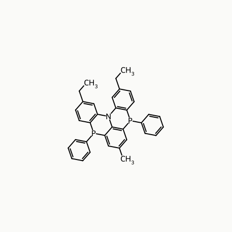 CCc1ccc2c(c1)N1c3cc(CC)ccc3P(c3ccccc3)c3cc(C)cc(c31)P2c1ccccc1